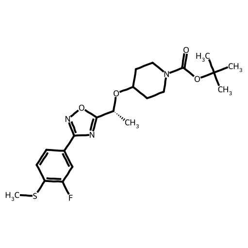 CSc1ccc(-c2noc([C@@H](C)OC3CCN(C(=O)OC(C)(C)C)CC3)n2)cc1F